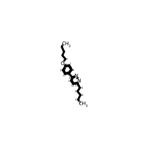 CCCCCOc1ccc(-c2ccc(CCCCC)nn2)cc1